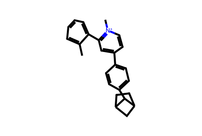 Cc1ccccc1-c1cc(-c2ccc(C3C4CCC3C4)cc2)cc[n+]1C